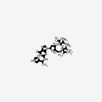 CC(Nc1nc2c(ncn2[C@H]2C[C@@H]3O[Si](C(C)C)(C(C)C)O[Si](C(C)C)(C(C)C)OC[C@H]3O2)c(=O)[nH]1)c1c[nH]cn1